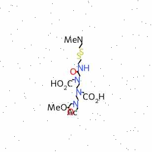 CNCCSSCCNC(=O)CN(CCN(CCN(CC(C)=O)CC(=O)OC)CC(=O)O)CC(=O)O